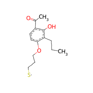 CCCc1c(OCCC[S])ccc(C(C)=O)c1O